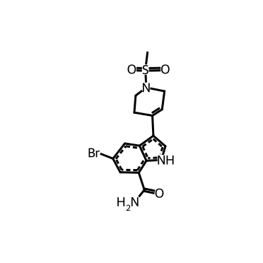 CS(=O)(=O)N1CC=C(c2c[nH]c3c(C(N)=O)cc(Br)cc23)CC1